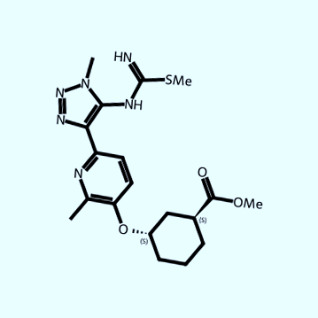 COC(=O)[C@H]1CCC[C@H](Oc2ccc(-c3nnn(C)c3NC(=N)SC)nc2C)C1